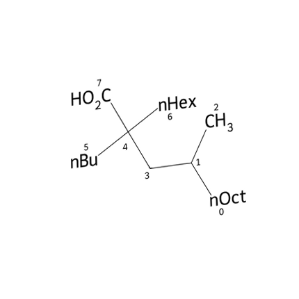 CCCCCCCCC(C)CC(CCCC)(CCCCCC)C(=O)O